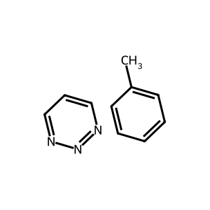 Cc1ccccc1.c1cnnnc1